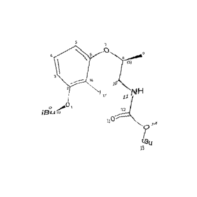 CC[C@H](C)Oc1cccc(O[C@@H](C)CNC(=O)OC(C)(C)C)c1I